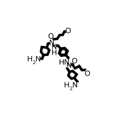 NCC1CCC(CN(NCc2ccc(CNN(CC3CCC(CN)CC3)C(=O)CCCC=O)cc2)C(=O)CCCC=O)CC1